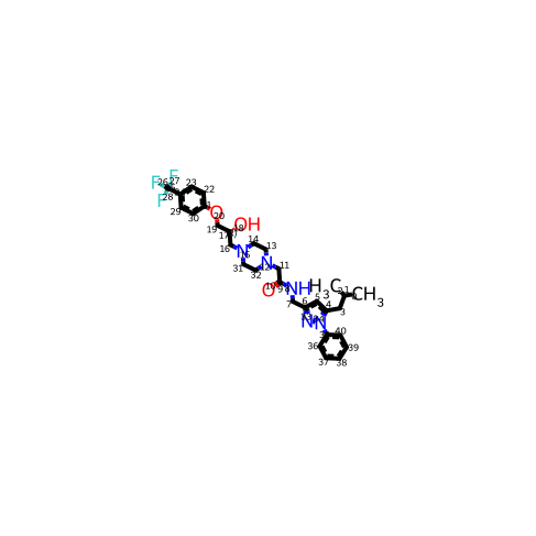 CC(C)Cc1cc(CNC(=O)CN2CCN(C[C@@H](O)COc3ccc(C(F)(F)F)cc3)CC2)nn1-c1ccccc1